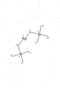 C[Si](C)(C)[CH2][Pd][CH2][Si](C)(C)C